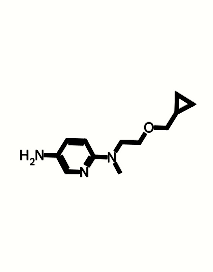 CN(CCOCC1CC1)c1ccc(N)cn1